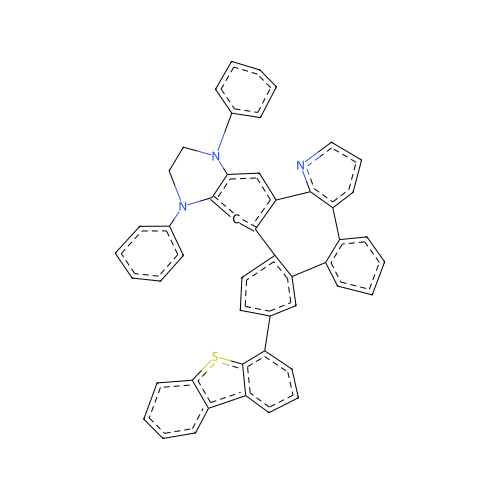 c1ccc(N2CCN(c3ccccc3)c3cc4c(cc32)-c2ccc(-c3cccc5c3sc3ccccc35)cc2-c2ccccc2-c2cccnc2-4)cc1